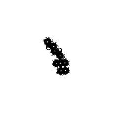 c1ccc2c(-c3c4ccccc4c(-c4ccc5oc6c(ccc7c6ccc6c8ccccc8oc67)c5c4)c4ccccc34)cccc2c1